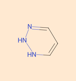 C1=CNNN=C1